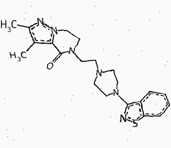 Cc1nn2c(c1C)C(=O)N(CCN1CCN(c3nsc4ccccc34)CC1)CC2